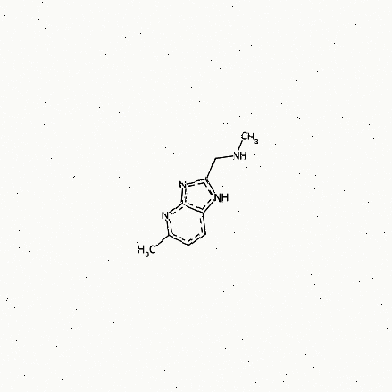 CNCc1nc2nc(C)ccc2[nH]1